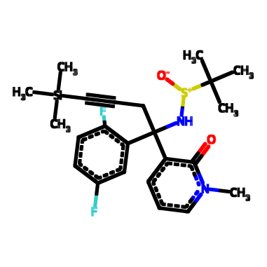 Cn1cccc(C(CC#C[Si](C)(C)C)(N[S+]([O-])C(C)(C)C)c2cc(F)ccc2F)c1=O